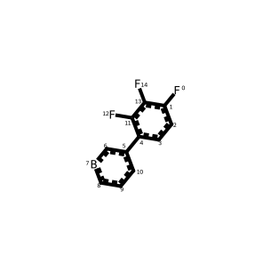 Fc1ccc(-c2cbccc2)c(F)c1F